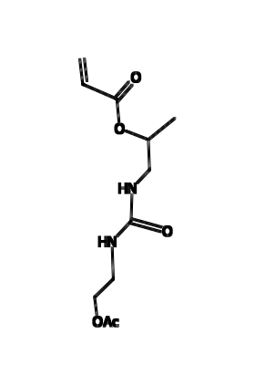 C=CC(=O)OC(C)CNC(=O)NCCOC(C)=O